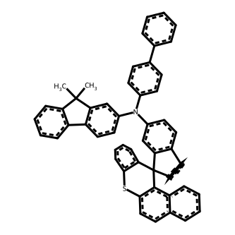 CC1(C)c2ccccc2-c2ccc(N(c3ccc(-c4ccccc4)cc3)c3ccc4c(c3)C3(c5ccccc5Sc5ccc6ccccc6c53)c3ccccc3-4)cc21